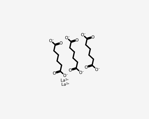 O=C([O-])CCCCC(=O)[O-].O=C([O-])CCCCC(=O)[O-].O=C([O-])CCCCC(=O)[O-].[La+3].[La+3]